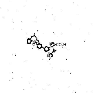 C[C@@H]1Cc2ccccc2S(=O)(=O)N(Cc2cccc(-c3cccc(-n4ncc(C(=O)O)c4[C@@H]4C[C@H]4c4cn(C)nn4)c3)c2)C1